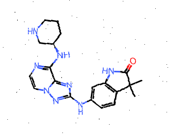 CC1(C)C(=O)Nc2cc(Nc3nc4c(N[C@@H]5CCCNC5)nccn4n3)ccc21